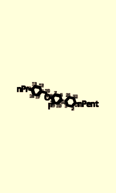 CCCCC[C@H]1CC[C@H](c2ccc(OCc3ccc(CCC)cc3)c(F)c2)CC1